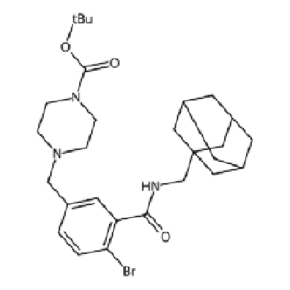 CC(C)(C)OC(=O)N1CCN(Cc2ccc(Br)c(C(=O)NCC34CC5CC(CC(C5)C3)C4)c2)CC1